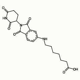 O=C(O)CCCCCCNc1ccc2c(c1)C(=O)N(C1CCC(=O)NC1=O)C2=O